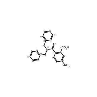 O=C(O)c1cc([N+](=O)[O-])ccc1C(=O)N(Cc1ccccc1)Cc1ccccc1